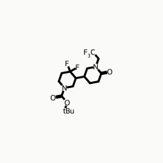 CC(C)(C)OC(=O)N1CCC(F)(F)C(C2CCC(=O)N(CC(F)(F)F)C2)C1